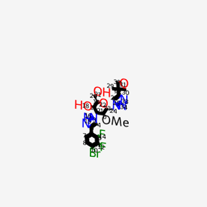 CO[C@@H]1[C@@H](n2cc(-c3ccc(Br)c(F)c3F)nn2)[C@@H](O)[C@@H](CO)O[C@@H]1Cn1cc(C2(C)COC2)nn1